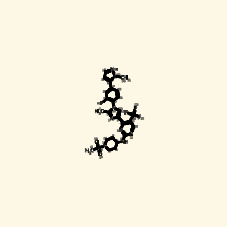 Cc1nc(-c2nc(NC3CCN(S(C)(=O)=O)CC3)ncc2C(F)(F)F)cn1-c1ccc(-c2ccnn2C)cc1F